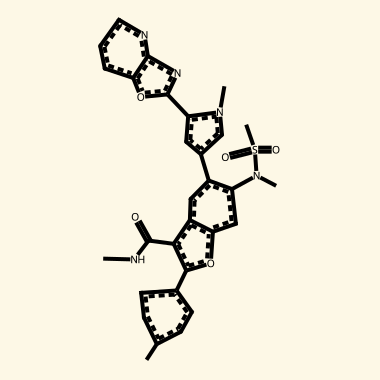 CNC(=O)c1c(-c2ccc(C)cc2)oc2cc(N(C)S(C)(=O)=O)c(-c3cc(-c4nc5ncccc5o4)n(C)c3)cc12